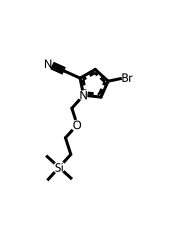 C[Si](C)(C)CCOCn1cc(Br)cc1C#N